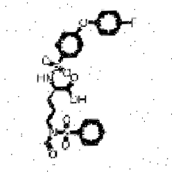 O=CN(CCC[C@@H](NS(=O)(=O)c1ccc(Oc2ccc(F)cc2)cc1)C(=O)O)S(=O)(=O)c1ccccc1